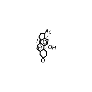 CC(=O)[C@H]1CC[C@H]2[C@@H]3CCC4CC(=O)CC[C@]4(C)[C@@]3(Cl)[C@@H](O)C[C@]12C